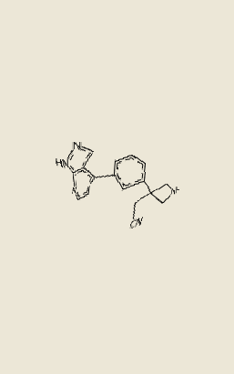 N#CCC1(c2cccc(-c3ccnc4[nH]ncc34)c2)CNC1